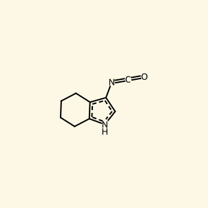 O=C=Nc1c[nH]c2c1CCCC2